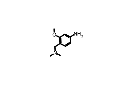 COc1cc(N)ccc1CN(C)C